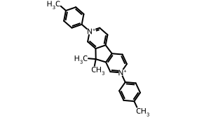 Cc1ccc(-[n+]2ccc3c(c2)C(C)(C)c2c[n+](-c4ccc(C)cc4)ccc2-3)cc1